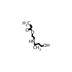 C=CC(=O)OCCNC(C)CCO